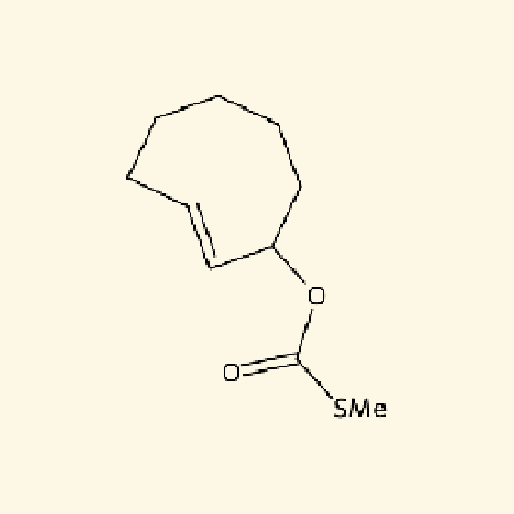 CSC(=O)OC1/C=C/CCCCC1